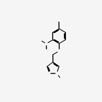 CCn1cc(COc2ccc(C)cc2B(O)O)cn1